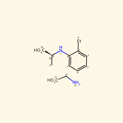 CCc1ccccc1N[C@@H](C)C(=O)O.NCC(=O)O